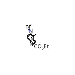 CCOC(=O)c1cn2c(C)c(/N=C/N(C)C)ccc2n1